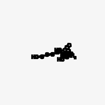 CC(O)(COCCOCCOCCOCCO)c1nc(CO)c(S(N)(=O)=NC(=O)Cc2c3c(cc4c2CCC4)CCC3)s1